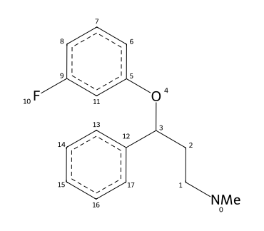 CNCCC(Oc1cccc(F)c1)c1ccccc1